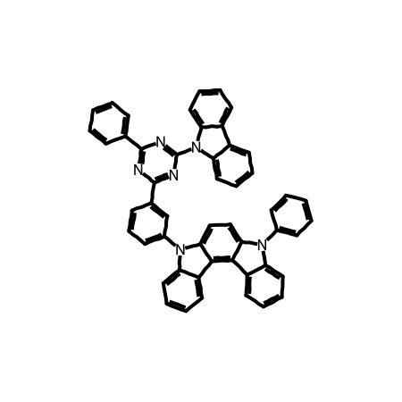 c1ccc(-c2nc(-c3cccc(-n4c5ccccc5c5c6c7ccccc7n(-c7ccccc7)c6ccc54)c3)nc(-n3c4ccccc4c4ccccc43)n2)cc1